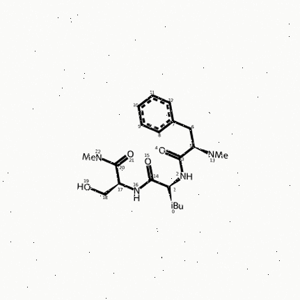 CC[C@H](C)[C@H](NC(=O)[C@@H](Cc1ccccc1)NC)C(=O)N[C@@H](CO)C(=O)NC